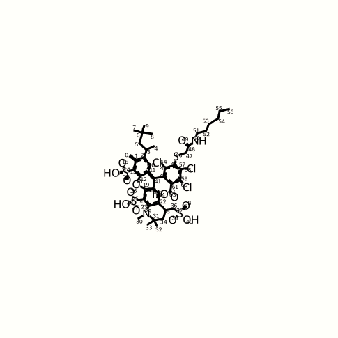 C=c1c(C(C)CC(C)(C)C)cc2c(c1S(=O)(=O)O)Oc1c(cc3c(c1S(=O)(=O)O)N(C)C(C)(C)CC3CS(=O)(=O)O)C=2c1c(Cl)c(SCC(=O)NCCCCCC)c(Cl)c(Cl)c1C(=O)O